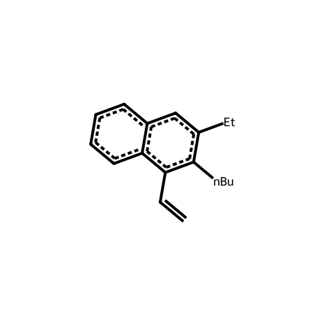 C=Cc1c(CCCC)c(CC)cc2ccccc12